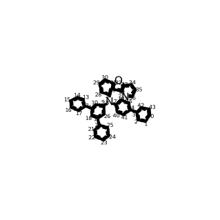 c1ccc(-c2ccc(N(c3cc(-c4ccccc4)cc(-c4ccccc4)c3)c3cccc4oc5cccnc5c34)cc2)cc1